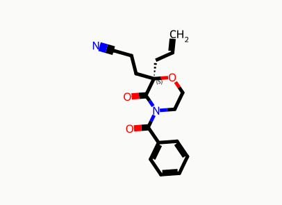 C=CC[C@]1(CCC#N)OCCN(C(=O)c2ccccc2)C1=O